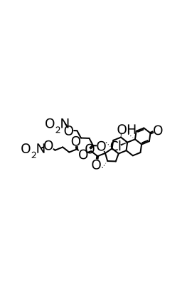 C[C@H]1CC2C3CCC4=CC(=O)C=C[C@]4(C)[C@@]3(Cl)[C@@H](O)C[C@]2(C)[C@@]1(OC(=O)CCCO[N+](=O)[O-])C(=O)COC(=O)CCCO[N+](=O)[O-]